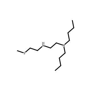 CCCCN(CCCC)CCNCCSC